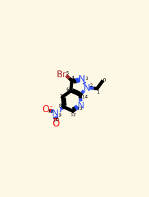 CCn1nc(Br)c2cc([N+](=O)[O-])cnc21